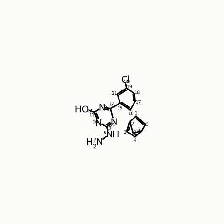 C1=CC2=CC=C1C2.NNc1nc(O)nc(-c2cccc(Cl)c2)n1